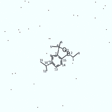 CCB1OC(C)(C)c2cc(C(C)C)ccc21